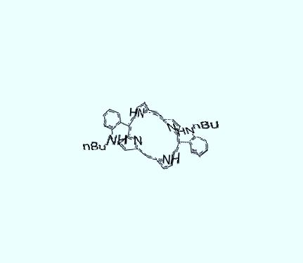 CCCCNc1ccccc1-c1c2nc(cc3ccc([nH]3)c(-c3ccccc3NCCCC)c3nc(cc4ccc1[nH]4)C=C3)C=C2